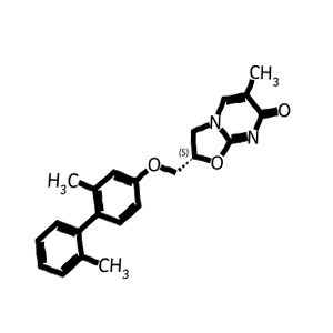 Cc1ccccc1-c1ccc(OC[C@@H]2Cn3cc(C)c(=O)nc3O2)cc1C